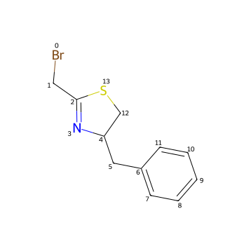 BrCC1=NC(Cc2ccccc2)CS1